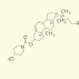 CC(C)CCC[C@@H](C)[C@H]1CCC2C3CC=C4CC(OC(=O)N5CCC(O)CC5)CC[C@]4(C)C3CC[C@@]21C